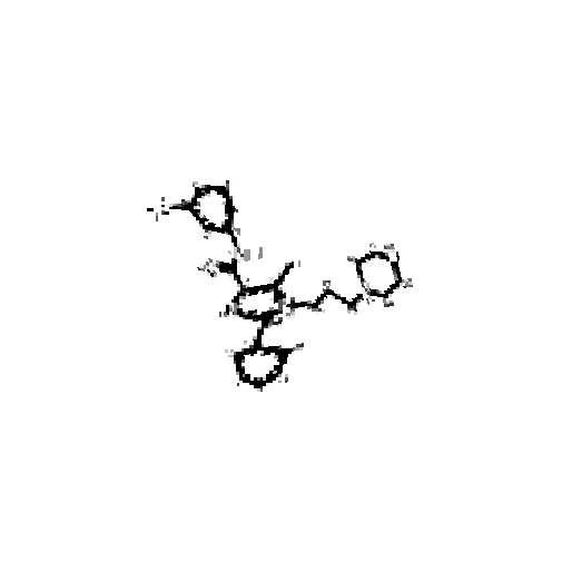 Cc1c(C(=O)Nc2cccc(C(F)(F)F)c2)nc(-c2ccccc2)n1CCCN1CCOCC1